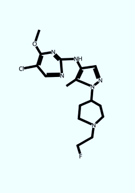 COc1nc(Nc2cnn(C3CCN(CCF)CC3)c2C)ncc1Cl